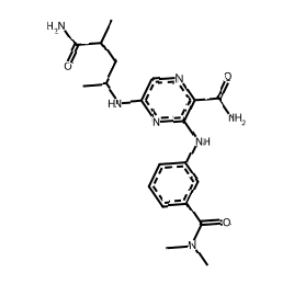 CC(CC(C)C(N)=O)Nc1cnc(C(N)=O)c(Nc2cccc(C(=O)N(C)C)c2)n1